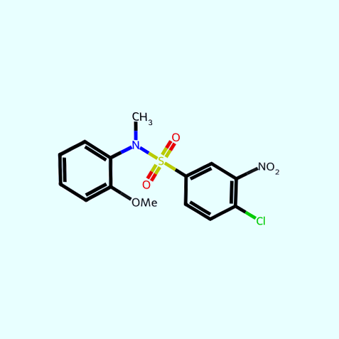 COc1ccccc1N(C)S(=O)(=O)c1ccc(Cl)c([N+](=O)[O-])c1